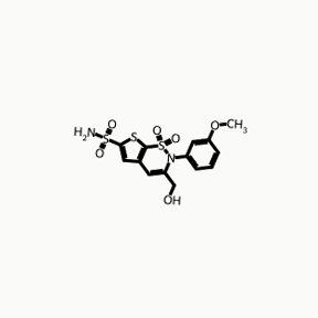 COc1cccc(N2C(CO)=Cc3cc(S(N)(=O)=O)sc3S2(=O)=O)c1